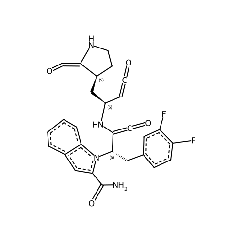 NC(=O)c1cc2ccccc2n1[C@@H](Cc1ccc(F)c(F)c1)C(=C=O)N[C@H](C=C=O)C[C@@H]1CCNC1=C=O